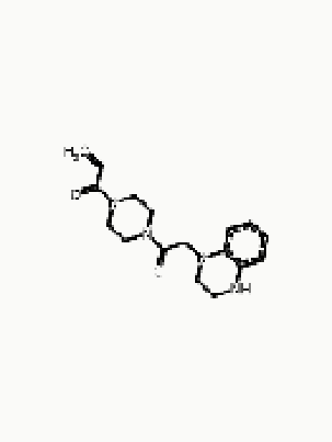 C=CC(=O)N1CCN(C(=O)CN2CCNc3ccccc32)CC1